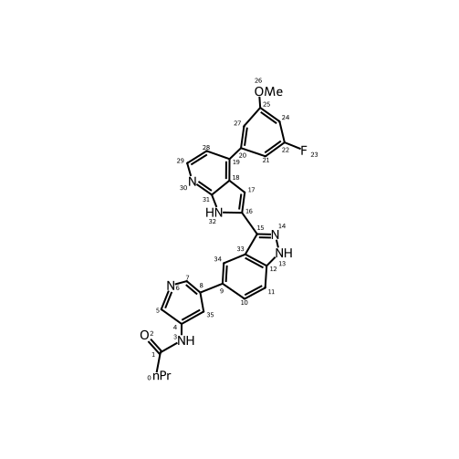 CCCC(=O)Nc1cncc(-c2ccc3[nH]nc(-c4cc5c(-c6cc(F)cc(OC)c6)ccnc5[nH]4)c3c2)c1